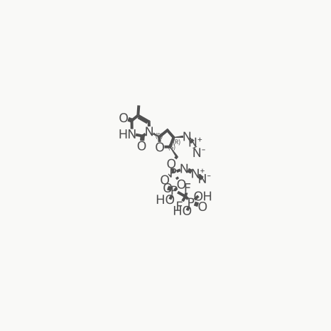 Cc1cn([C@H]2C[C@@H](N=[N+]=[N-])[C@@H](COP(=O)(N=[N+]=[N-])OP(=O)(O)C(F)(F)P(=O)(O)O)O2)c(=O)[nH]c1=O